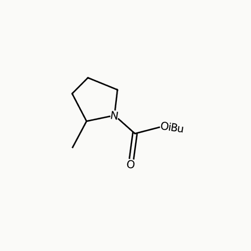 CC(C)COC(=O)N1CCCC1C